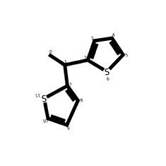 C[C](c1cccs1)c1cccs1